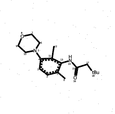 Cc1ccc(N2CCOCC2)c(C)c1NC(=O)CC(C)(C)C